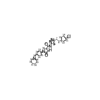 O=C(Nc1nnc(CCc2ccc(Cl)cc2)s1)C1CC(=O)N(c2ccc(CN3CCCCCC3)cc2)C1